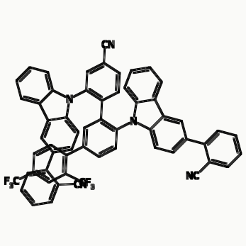 N#Cc1ccc(-c2cc(-c3ccc(C(F)(F)F)cc3C(F)(F)F)ccc2-n2c3ccccc3c3cc(-c4ccccc4C#N)ccc32)c(-n2c3ccccc3c3cc(-c4ccccc4C#N)ccc32)c1